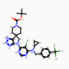 CC(C)(C)OC(=O)N1CCC(CNc2ncnc(N(Cc3ccc(C(F)(F)F)cc3)C3CC3)c2F)(c2cnn[nH]2)CC1